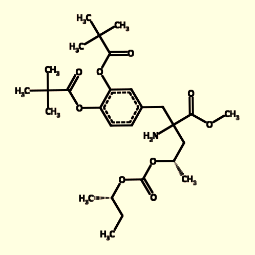 CC[C@H](C)OC(=O)O[C@@H](C)CC(N)(Cc1ccc(OC(=O)C(C)(C)C)c(OC(=O)C(C)(C)C)c1)C(=O)OC